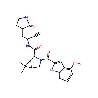 C#CC(CC1CCNC1=O)NC(=O)C1C2C(CN1C(=O)c1cc3c(OC)cccc3[nH]1)C2(C)C